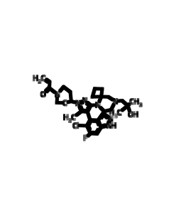 C=CC(=O)N1CCC(n2nc(N3CCN(CC(C)(C)O)CC34CCC4)c(-c3c(Cl)c(F)cc4[nH]ncc34)c2C)CC1